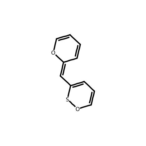 C1=COSC(C=C2C=CC=CO2)=C1